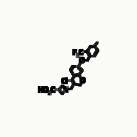 Cc1ccc(COc2ccc3c(c2)OCC(CN2CC(C(=O)O)C2)=C3Cl)c(C(F)(F)F)c1